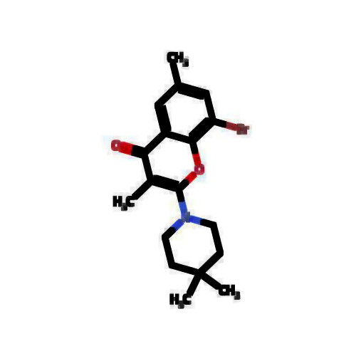 Cc1cc(Br)c2oc(N3CCC(C)(C)CC3)c(C)c(=O)c2c1